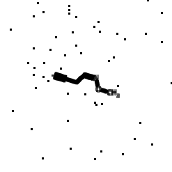 [C]#CC/C=N\OC